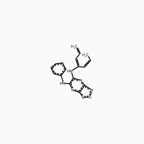 C=C/C=C(\C=C/C)Nc1nc2nonc2nc1Nc1ccccc1